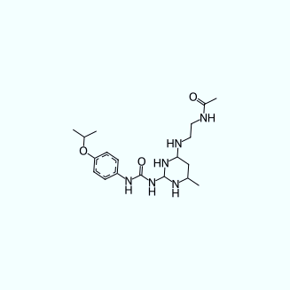 CC(=O)NCCNC1CC(C)NC(NC(=O)Nc2ccc(OC(C)C)cc2)N1